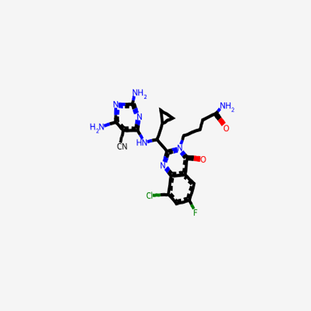 N#Cc1c(N)nc(N)nc1NC(c1nc2c(Cl)cc(F)cc2c(=O)n1CCCC(N)=O)C1CC1